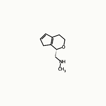 CNC[C@H]1OCCC2=C1CC=C2